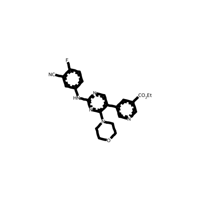 CCOC(=O)c1cncc(-c2cnc(Nc3ccc(F)c(C#N)c3)nc2N2CCOCC2)c1